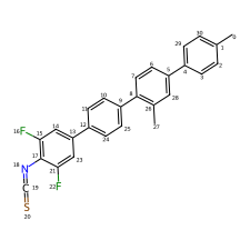 Cc1ccc(-c2ccc(-c3ccc(-c4cc(F)c(N=C=S)c(F)c4)cc3)c(C)c2)cc1